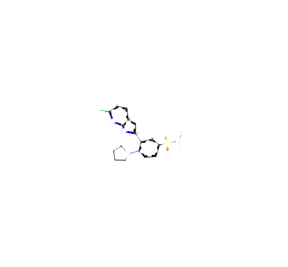 CN(C)S(=O)(=O)c1ccc(N2CCCC2)c(-c2cc3ccc(Cl)nc3[nH]2)c1